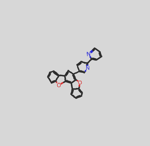 c1ccc(-c2ccc(-c3cc4c5ccccc5oc4c4c3oc3ccccc34)cn2)nc1